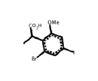 COc1cc(I)cc(Br)c1C(C)C(=O)O